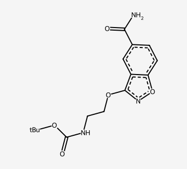 CC(C)(C)OC(=O)NCCOc1noc2ccc(C(N)=O)cc12